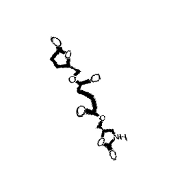 O=C(/C=C/C(=O)OC[C@H]1CNC(=O)O1)OC[C@H]1CCC(=O)O1